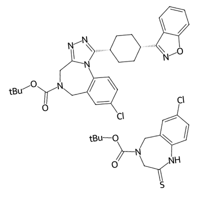 CC(C)(C)OC(=O)N1CC(=S)Nc2ccc(Cl)cc2C1.CC(C)(C)OC(=O)N1Cc2cc(Cl)ccc2-n2c(nnc2[C@H]2CC[C@@H](c3noc4ccccc43)CC2)C1